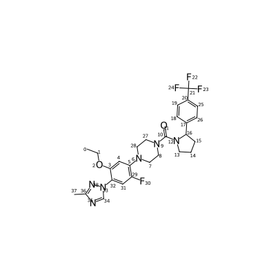 CCOc1cc(N2CCN(C(=O)N3CCCC3c3ccc(C(F)(F)F)cc3)CC2)c(F)cc1-n1cnc(C)n1